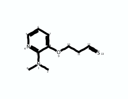 CN(C)c1ncccc1OCCC=S